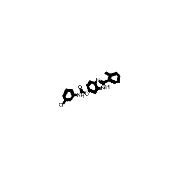 Cc1ccccc1-c1nc2ccc(OC(=O)Nc3cccc(Cl)c3)cc2[nH]1